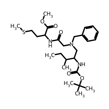 CCC(C)C(CN(CC(=O)NC(CCSC)C(=O)OC)Cc1ccccc1)NC(=O)OC(C)(C)C